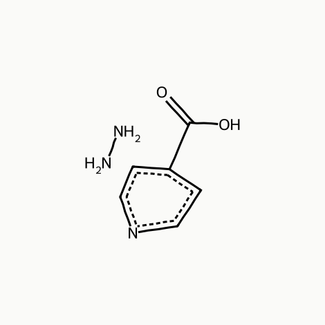 NN.O=C(O)c1ccncc1